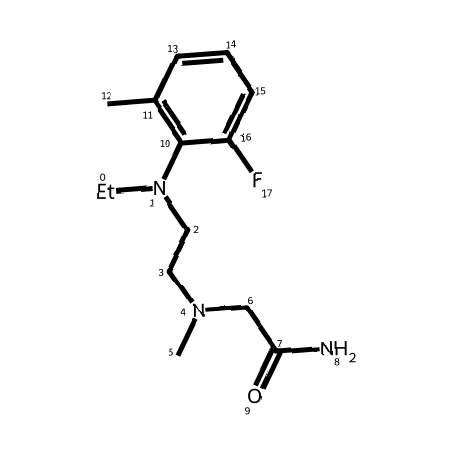 CCN(CCN(C)CC(N)=O)c1c(C)cccc1F